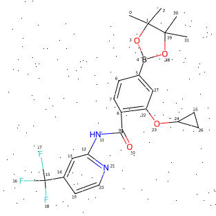 CC1(C)OB(c2ccc(C(=O)Nc3cc(C(F)(F)F)ccn3)c(OC3CC3)c2)OC1(C)C